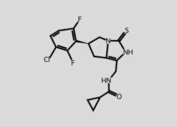 O=C(NCc1[nH]c(=S)n2c1C[C@@H](c1c(F)ccc(Cl)c1F)C2)C1CC1